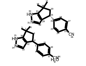 CC1(C)CC(c2ccc(C#N)cc2)c2cn[nH]c21.CC1(C)C[C@H](c2ccc(C#N)cc2)c2cn[nH]c21.O